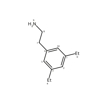 CCc1cc(CC)cc(CCN)c1